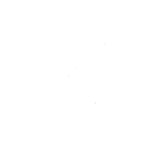 Cc1cc(C(C)(c2cc(C)c(O)c(C)c2)C(C)(c2cc(C)c(O)c(C)c2)c2cc(C)c(O)c(C)c2)cc(C)c1O